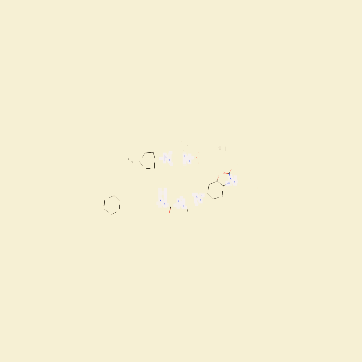 CC(C)(C)OC(=O)N1CCN(c2ccc([N+](=O)[O-])c(O)c2)CC12CC2.Cn1c(=O)oc2cc(N3CCN(C(=O)NCCCCc4ccccc4)C4(CC4)C3)ccc21